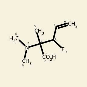 C=CC(F)C(C)(C(=O)O)N(C)C